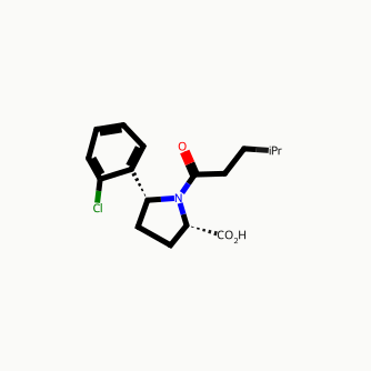 CC(C)CCC(=O)N1[C@@H](c2ccccc2Cl)CC[C@H]1C(=O)O